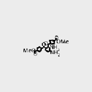 COC(=O)c1ccc(C(=O)c2ccc(N)c(N)c2C(=O)c2ccc(C(=O)OC)cc2)cc1